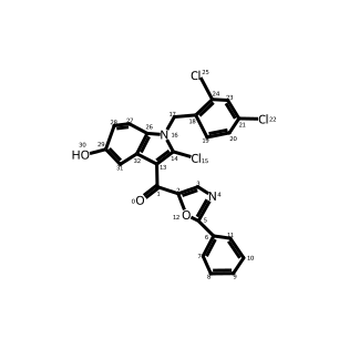 O=C(c1cnc(-c2ccccc2)o1)c1c(Cl)n(Cc2ccc(Cl)cc2Cl)c2ccc(O)cc12